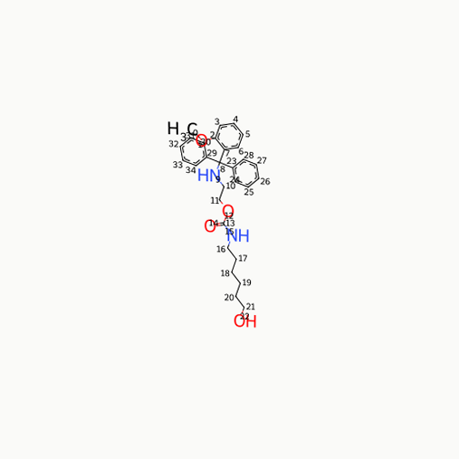 COc1ccccc1C(NCCOC(=O)NCCCCCCO)(c1ccccc1)c1ccccc1